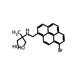 CC(CO)(CO)NCc1ccc2ccc3ccc(Br)c4ccc1c2c34